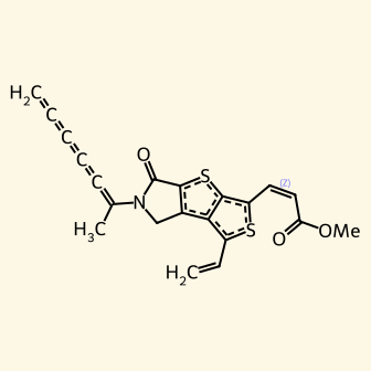 C=C=C=C=C=C(C)N1Cc2c(sc3c(/C=C\C(=O)OC)sc(C=C)c23)C1=O